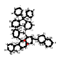 c1ccc(C2(c3ccccc3)c3ccccc3-c3c(N(c4cccc(-c5ccc6ccccc6c5)c4)c4ccccc4-c4cccc5oc6ccccc6c45)cccc32)cc1